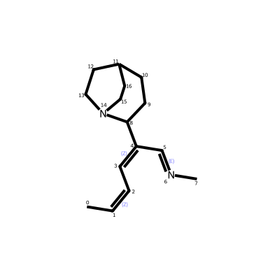 C\C=C/C=C(\C=N\C)C1CCC2CCN1CC2